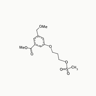 COCc1cc(OCCCOS(C)(=O)=O)cc(C(=O)OC)c1